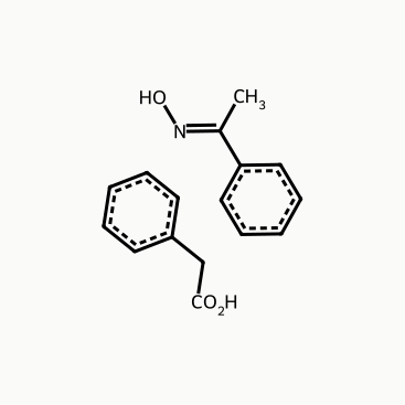 CC(=NO)c1ccccc1.O=C(O)Cc1ccccc1